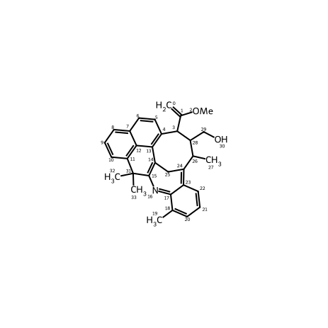 C=C(OC)C1c2ccc3cccc4c3c2C2=C(N=c3c(C)cccc3=C(C2)C(C)C1CO)C4(C)C